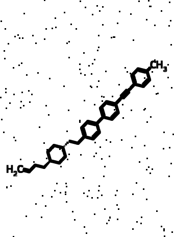 C=CCC[C@H]1CC[C@H](CCc2ccc(-c3ccc(C#Cc4ccc(C)cc4)cc3)cc2)CC1